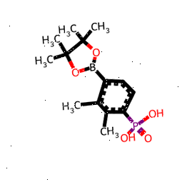 Cc1c(B2OC(C)(C)C(C)(C)O2)ccc(P(=O)(O)O)c1C